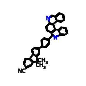 CC1(C)c2cc(C#N)ccc2-c2ccc(-c3ccc(-c4nc5ccccc5c5c4ccc4ncc6ccccc6c45)cc3)cc21